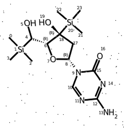 C[Si](C)(C)C(O)[C@H]1O[C@@H](n2cnc(N)nc2=O)C[C@@]1(O)[Si](C)(C)C